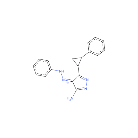 NC1=NN=C(C2CC2c2ccccc2)/C1=N\Nc1ccccc1